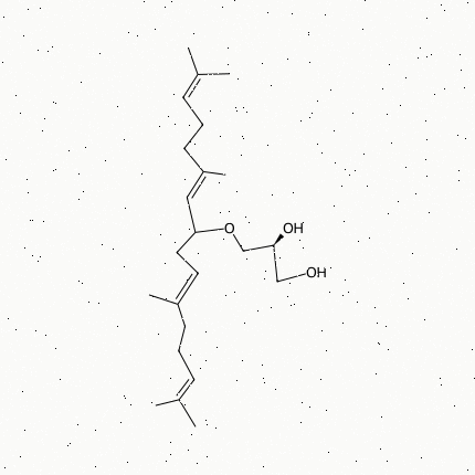 CC(C)=CCC/C(C)=C/CC(/C=C(\C)CCC=C(C)C)OC[C@@H](O)CO